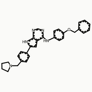 c1ccc(COc2ccc(Nc3ncnc4[nH]c(-c5ccc(CN6CCCC6)cc5)cc34)cc2)cc1